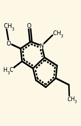 CCc1ccc2c(C)c(OC)c(=O)n(C)c2c1